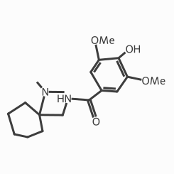 COc1cc(C(=O)NCC2(N(C)C)CCCCC2)cc(OC)c1O